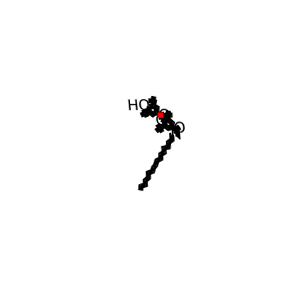 CCCCCCCCCCCCCCCCCCN(C)C(=O)c1cc(C(C)(C)C)c(OC(=O)c2cc(C(C)(C)C)c(O)c(C(C)(C)C)c2)c(C(C)(C)C)c1